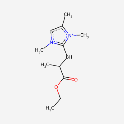 CCOC(=O)C(C)Bc1n(C)cc(C)[n+]1C